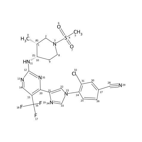 C[C@@H]1CN(S(C)(=O)=O)CC[C@@H]1Nc1ncc(C(F)(F)F)c(-c2cn(-c3ccc(C#N)cc3Cl)cn2)n1